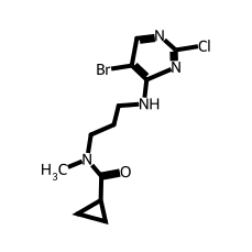 CN(CCCNc1nc(Cl)ncc1Br)C(=O)C1CC1